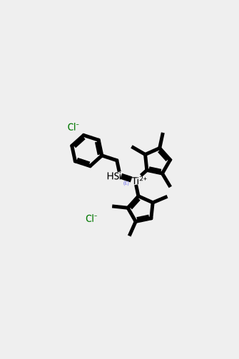 CC1=CC(C)[C](/[Ti+2](=[SiH]/Cc2ccccc2)[C]2=C(C)C=C(C)C2C)=C1C.[Cl-].[Cl-]